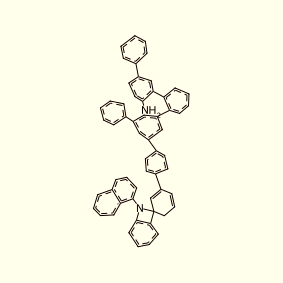 Nc1ccc(-c2ccccc2)cc1-c1ccccc1-c1cc(-c2ccccc2)cc(-c2ccc(C3=CC4(CC=C3)c3ccccc3N4c3cccc4ccccc34)cc2)c1